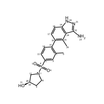 Cc1cc(S(=O)(=O)N2CC[C@@H](O)C2)ccc1-c1ccc2[nH]nc(N)c2c1C